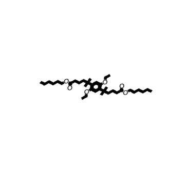 CCCCCCOC(=O)CCCC(C)(C)c1cc(OCC)c(C(C)(C)CCCC(=O)OCCCCCC)cc1OCC